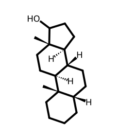 C[C@]12CCCC[C@H]1CC[C@@H]1[C@@H]2CC[C@]2(C)C(O)CC[C@@H]12